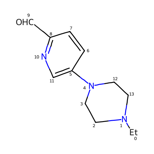 CCN1CCN(c2ccc(C=O)nc2)CC1